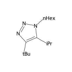 CCCCCCn1nnc(C(C)(C)C)c1C(C)C